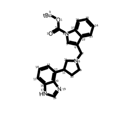 CC(C)(C)OC(=O)n1cc(CN2CCC(c3cccc4[nH]cnc34)C2)c2ccccc21